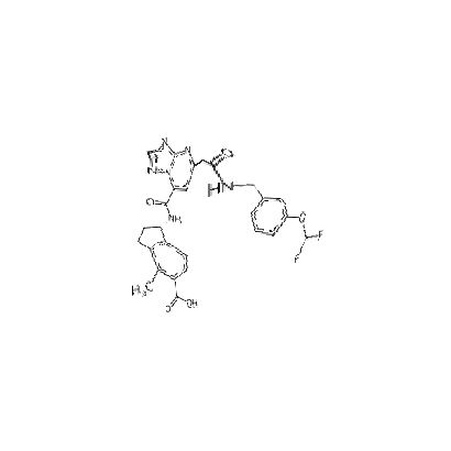 Cc1c(C(=O)O)ccc2c1CC[C@@H]2NC(=O)c1cc(C(=O)NCc2cccc(OC(F)F)c2)nc2ncnn12